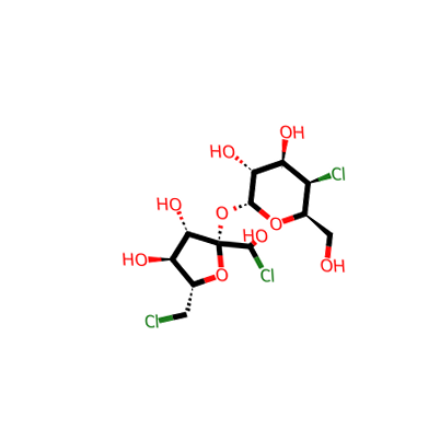 OC[C@H]1O[C@H](O[C@]2(C(O)Cl)O[C@H](CCl)[C@@H](O)[C@@H]2O)[C@H](O)[C@@H](O)[C@H]1Cl